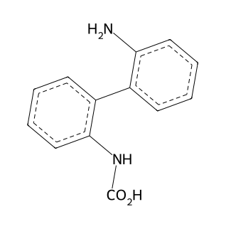 Nc1ccccc1-c1ccccc1NC(=O)O